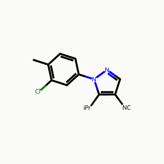 [C-]#[N+]c1cnn(-c2ccc(C)c(Cl)c2)c1C(C)C